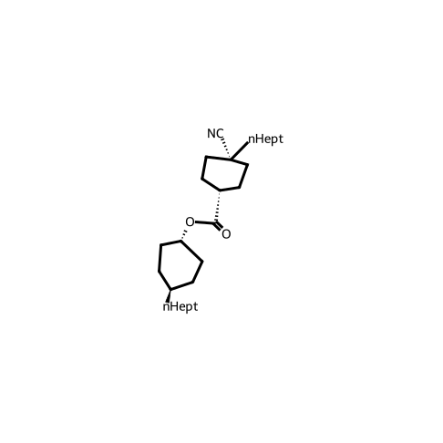 CCCCCCC[C@H]1CC[C@H](OC(=O)[C@H]2CC[C@](C#N)(CCCCCCC)CC2)CC1